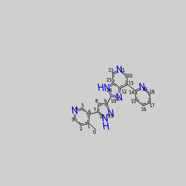 Cc1ccncc1-c1cc(-c2nc3c(-c4ccccn4)cncc3[nH]2)n[nH]1